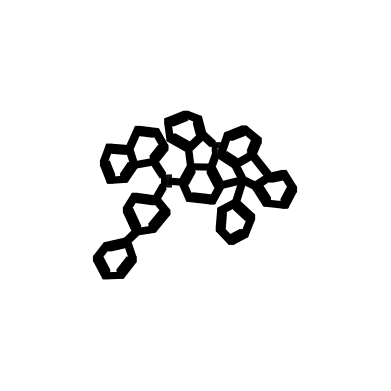 c1ccc(-c2ccc(N(c3cccc4ccccc34)c3ccc(C4(c5ccccc5)c5ccccc5-c5ccccc54)c4oc5ccccc5c34)cc2)cc1